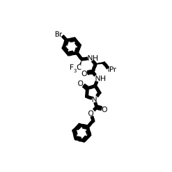 CC(C)C[C@H](N[C@@H](c1ccc(Br)cc1)C(F)(F)F)C(=O)NC1CN(C(=O)OCc2ccccc2)CC1=O